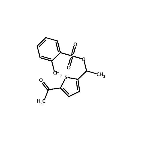 CC(=O)c1ccc(C(C)OS(=O)(=O)c2ccccc2C)s1